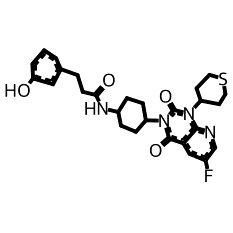 O=C(CCc1cccc(O)c1)NC1CCC(n2c(=O)c3cc(F)cnc3n(C3CCSCC3)c2=O)CC1